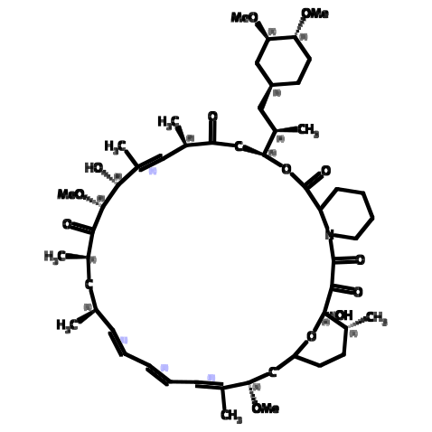 CO[C@H]1CC2CC[C@@H](C)[C@@](O)(O2)C(=O)C(=O)N2CCCCC2C(=O)O[C@H]([C@H](C)C[C@@H]2CC[C@@H](OC)[C@H](OC)C2)CC(=O)[C@H](C)/C=C(\C)[C@@H](O)[C@@H](OC)C(=O)[C@H](C)C[C@H](C)/C=C/C=C/C=C/1C